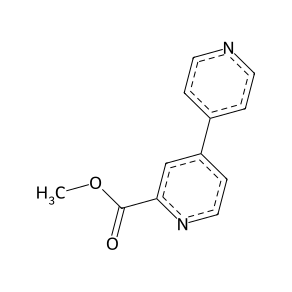 COC(=O)c1cc(-c2ccncc2)ccn1